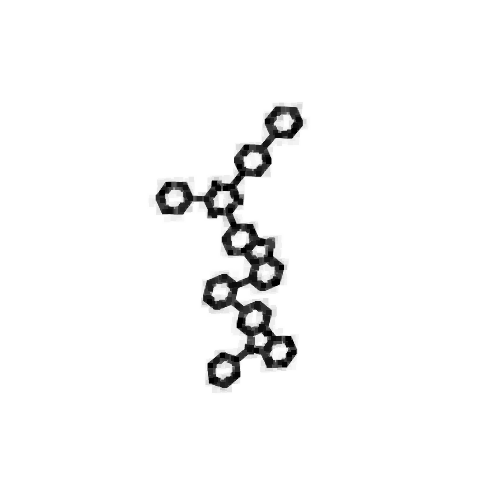 c1ccc(-c2ccc(-c3nc(-c4ccccc4)nc(-c4ccc5c(c4)sc4cccc(-c6ccccc6-c6ccc7c8ccccc8n(-c8ccccc8)c7c6)c45)n3)cc2)cc1